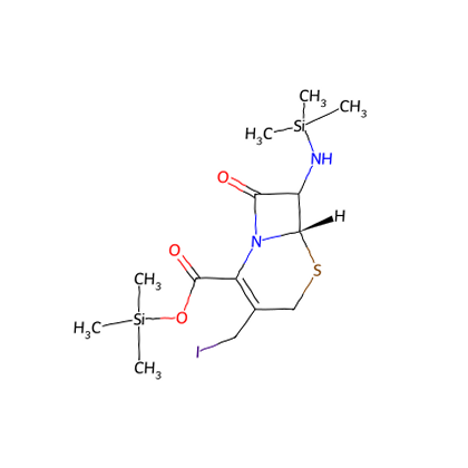 C[Si](C)(C)NC1C(=O)N2C(C(=O)O[Si](C)(C)C)=C(CI)CS[C@@H]12